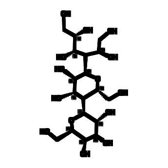 OC[C@@H](O)C([C@H]1O[C@H](CO)C([C@H]2O[C@H](CO)[C@@H](O)[C@H](O)[C@H]2O)[C@H](O)[C@H]1O)[C@H](O)[C@@H](O)CO